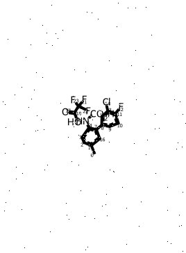 Cc1ccc(NC(=O)O)c(-c2ccc(F)c(Cl)c2)c1.O=C(O)C(F)(F)F